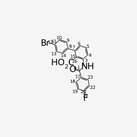 O=C(Nc1cccc(-c2ccc(Br)cc2)c1C(=O)O)c1ccc(F)cc1